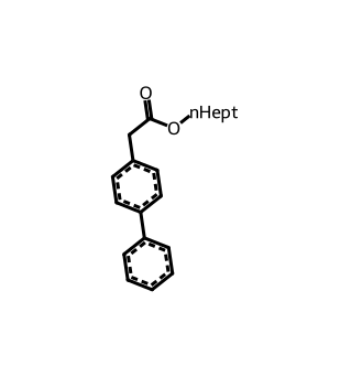 CCCCCCCOC(=O)Cc1ccc(-c2ccccc2)cc1